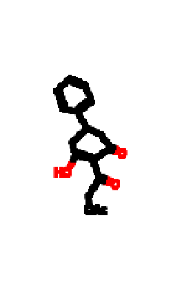 CC(=O)OCC(=O)C1=C(O)CC(c2ccccc2)CC1=O